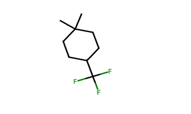 CC1(C)CC[C](C(F)(F)F)CC1